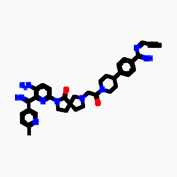 CN/C=N\C(=N)c1ccc(C2CCN(C(=O)CN3CC[C@]4(CCN(c5ccc(N)c(C(=N)c6ccc(C)nc6)n5)C4=O)C3)CC2)cc1